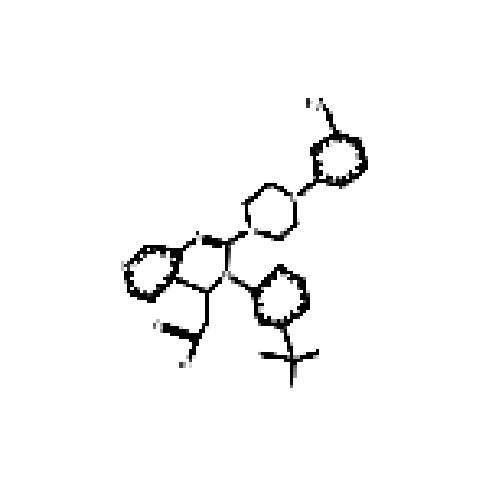 Cc1cccc(N2CCN(C3=Nc4cnccc4C(CC(=O)O)N3c3cccc(C(F)(F)F)c3)CC2)c1